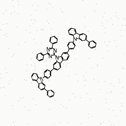 c1ccc(-c2ccc3c4ccccc4n(-c4ccc(-c5ccc6c7ccc(-c8ccc(-n9c%10ccccc%10c%10ccc(-c%11ccccc%11)cc%109)cc8)cc7n(-c7nc(-c8ccccc8)nc(-c8ccccc8)n7)c6c5)cc4)c3c2)cc1